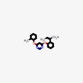 C/C=C(/C(=O)O)c1ccccc1Oc1cc(Oc2ccccc2C)ncn1